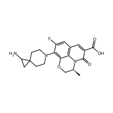 C[C@H]1COc2c(N3CCC4(CC3)CC4N)c(F)cc3cc(C(=O)O)c(=O)n1c23